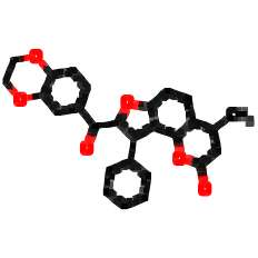 Cc1cc(=O)oc2c1ccc1oc(C(=O)c3ccc4c(c3)OCCO4)c(-c3ccccc3)c12